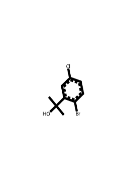 CC(C)(O)c1cc(Cl)ccc1Br